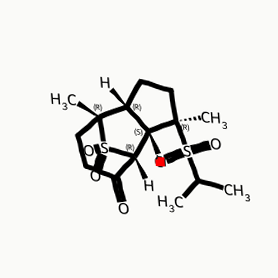 CC(C)S(=O)(=O)[C@]1(C)CC[C@@H]2[C@H]1[C@@H]1C(=O)CC[C@@]2(C)S1(=O)=O